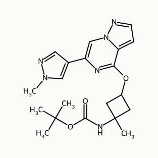 Cn1cc(-c2cn3nccc3c(OC3CC(C)(NC(=O)OC(C)(C)C)C3)n2)cn1